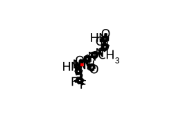 CN(Cc1cccc(N2CCC(=O)NC2=O)c1)C1CCN(c2ccc(C(=O)Nc3n[nH]c4ccc(Cc5cc(F)cc(F)c5)cc34)c(NC3CCOCC3)c2)CC1